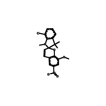 COc1cc([N+](=O)[O-])cc2c1OC1(C=C2)N(C)c2c(Cl)cccc2C1(C)C